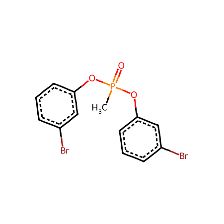 CP(=O)(Oc1cccc(Br)c1)Oc1cccc(Br)c1